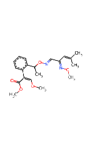 COC=C(C(=O)OC)c1ccccc1C(C)ON=CC(C=C(C)C)=NOC